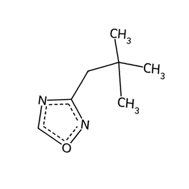 CC(C)(C)Cc1ncon1